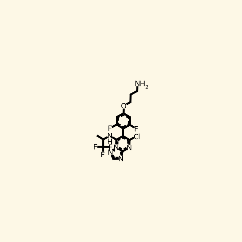 CC(Nc1c(-c2c(F)cc(OCCCN)cc2F)c(Cl)nc2ncnn12)C(F)(F)F